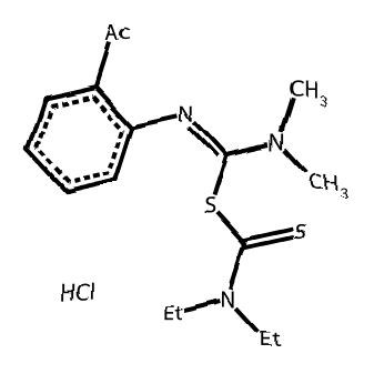 CCN(CC)C(=S)SC(=Nc1ccccc1C(C)=O)N(C)C.Cl